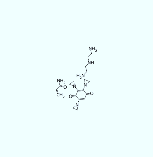 C=CC(N)=O.NCCNCCN.O=C1C=C(N2CC2)C(=O)C(N2CC2)=C1N1CC1